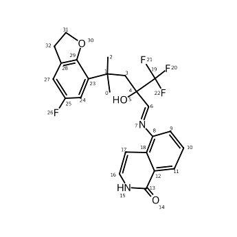 CC(C)(CC(O)(C=Nc1cccc2c(=O)[nH]ccc12)C(F)(F)F)c1cc(F)cc2c1OCC2